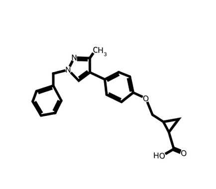 Cc1nn(Cc2ccccc2)cc1-c1ccc(OCC2CC2C(=O)O)cc1